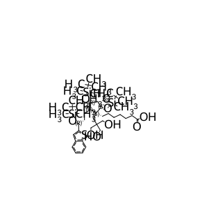 CC(C)(C)[Si](C)(C)O[C@H]1C[C@@H](O[Si](C)(C)C(C)(C)C)[C@H](CC[C@@H](O[Si](C)(C)C(C)(C)C)c2cc3ccccc3s2)[C@]1(CCCCCCC(=O)O)CC(CO)(CO)CO